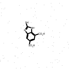 O=C(O)c1cc(S(=O)(=O)O)cc2nc(S)[nH]c12